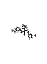 O=C(NC1CCCNC1)c1sc2nccc3c2c1NC(=O)N3c1ccc2c(c1)OC(F)(F)O2